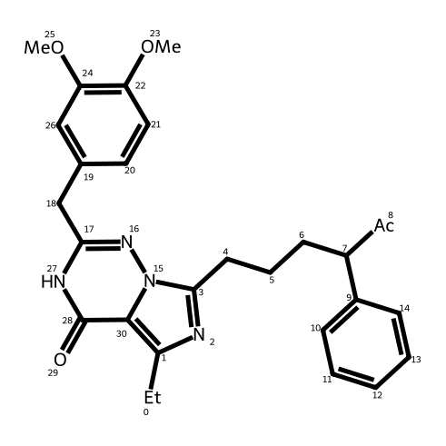 CCc1nc(CCCC(C(C)=O)c2ccccc2)n2nc(Cc3ccc(OC)c(OC)c3)[nH]c(=O)c12